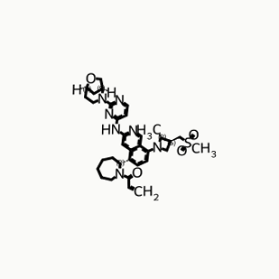 C=CC(=O)N1CCCCC[C@@H]1c1ccc(N2C[C@H](CS(C)(=O)=O)[C@H]2C)c2cnc(Nc3ccnc(N4CC[C@@H]5C[C@H]4CO5)n3)cc12